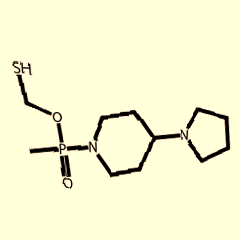 CP(=O)(OCS)N1CCC(N2CCCC2)CC1